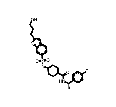 C[C@@H](NC(=O)C1CCC(NS(=O)(=O)c2ccc3cc(CCCO)[nH]c3c2)CC1)c1ccc(F)cc1